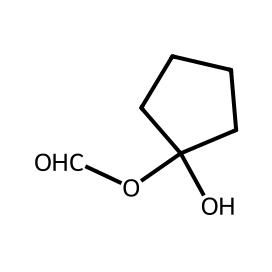 O=COC1(O)CCCC1